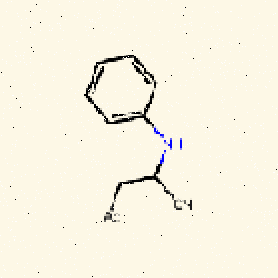 CC(=O)CC(C#N)Nc1ccccc1